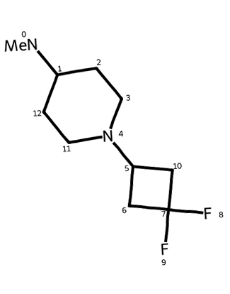 CNC1CCN(C2CC(F)(F)C2)CC1